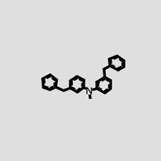 CN(c1cccc(Cc2ccccc2)c1)c1cccc(Cc2ccccc2)c1